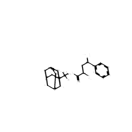 CCC(CC(C)c1ccccc1)C(=O)OC(C)(C)C12CC3CC(CC(C3)C1)C2